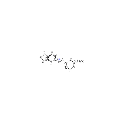 COC1=CCOC(/C=C/c2ccc3c(c2)CCC3)C1